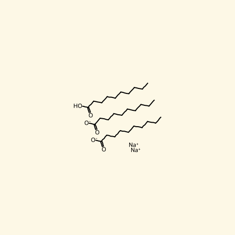 CCCCCCCCCC(=O)O.CCCCCCCCCC(=O)[O-].CCCCCCCCCC(=O)[O-].[Na+].[Na+]